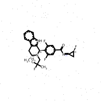 C[C@@H]1Cc2c([nH]c3ccccc23)[C@@H](c2c(F)cc(C(=O)/N=C3/C[C@@H]3F)cc2F)N1CC(C)(C)F